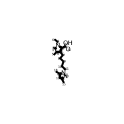 CCn1nc(C)c(CCCCCn2nc(C)cc2C)c1C(=O)O